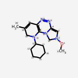 CON1C=C2N=NC3=C(N2C1)N(C1CCCCC1)CC(C)=C3